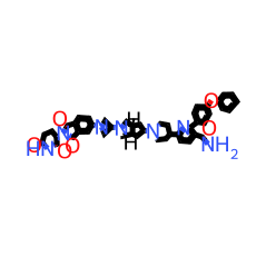 NC(=O)c1ccc(C2CCN(C3C[C@@H]4CN(C5CN(c6ccc7c(c6)C(=O)N(C6CCC(=O)NC6=O)C7=O)C5)C[C@@H]4C3)CC2)nc1-c1ccc(Oc2ccccc2)cc1